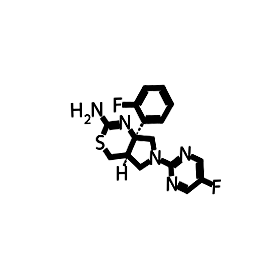 NC1=N[C@@]2(c3ccccc3F)CN(c3ncc(F)cn3)C[C@H]2CS1